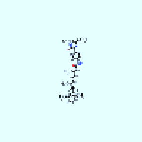 CC(=O)NC(CC(C(N)=O)c1ccc(NC(=O)/C=C(C)/C=C/C=C(C)/C=C/C2=C(C)CCCC2(C)C)cc1)C(=O)O